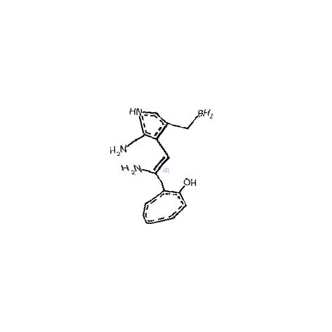 BCc1c[nH]c(N)c1/C=C(\N)c1ccccc1O